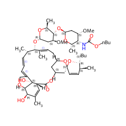 CCCCOC(=O)N[C@@H]1[C@H](C)O[C@@H](O[C@H]2[C@H](C)O[C@@H](O[C@@H]3/C(C)=C/C[C@@H]4C[C@@H](C[C@]5(C=C[C@H](C)[C@@H]([C@@H](C)CC)O5)O4)OC(=O)[C@@H]4C=C(C)[C@@H](O)[C@H]5OC/C(=C\C=C\[C@@H]3C)[C@]54O)C[C@@H]2OC)C[C@@H]1OC